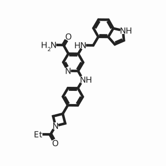 CCC(=O)N1CC(c2ccc(Nc3cc(NCc4cccc5[nH]ccc45)c(C(N)=O)cn3)cc2)C1